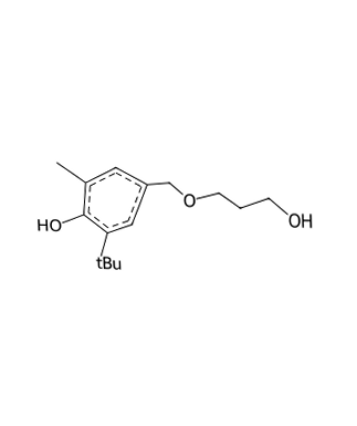 Cc1cc(COCCCO)cc(C(C)(C)C)c1O